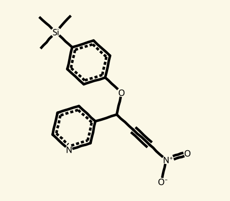 C[Si](C)(C)c1ccc(OC(C#C[N+](=O)[O-])c2cccnc2)cc1